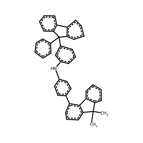 CC1(C)c2ccccc2-c2c(-c3ccc(Nc4cccc(C5(c6ccccc6)c6ccccc6-c6ccccc65)c4)cc3)cccc21